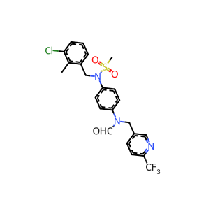 Cc1c(Cl)cccc1CN(c1ccc(N(C=O)Cc2ccc(C(F)(F)F)nc2)cc1)S(C)(=O)=O